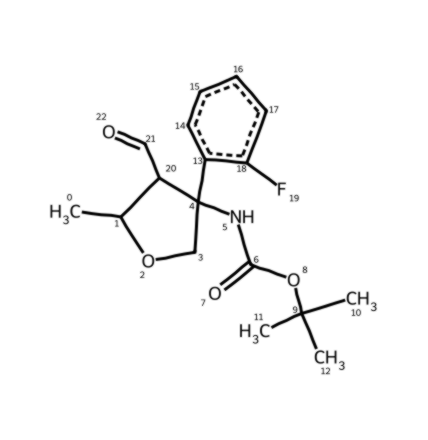 CC1OCC(NC(=O)OC(C)(C)C)(c2ccccc2F)C1C=O